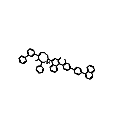 Cc1cc(-c2ccc(-c3cccc4ccccc34)cc2)ccc1-c1c(C)cc(C2CC/C=C(/c3cccc(-c4ccccc4)c3)C(C)C(c3ccccc3)N2)c2ccccc12